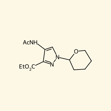 CCOC(=O)c1nn(C2CCCCO2)cc1NC(C)=O